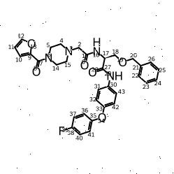 O=C(CN1CCN(C(=O)c2ccco2)CC1)N[C@@H](COCc1ccccc1)C(=O)Nc1ccc(Oc2ccc(F)cc2)cc1